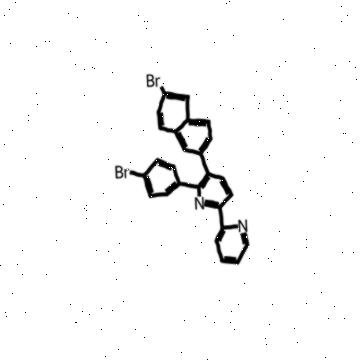 Brc1ccc(-c2nc(-c3ccccn3)ccc2-c2ccc3cc(Br)ccc3c2)cc1